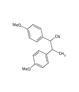 COc1ccc(C(C)C(C#N)c2ccc(OC)cc2)cc1